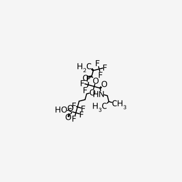 C=C(C(=O)OC(OCCCC(F)(F)C(F)(F)S(=O)(=O)O)(C(=O)NCC(C)C)C(F)(F)F)C(F)(F)F